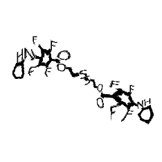 O=C(OCCSSCCOC(=O)c1c(F)c(F)c(NC2CCCCC2)c(F)c1F)c1c(F)c(F)c(NC2CCCCC2)c(F)c1F